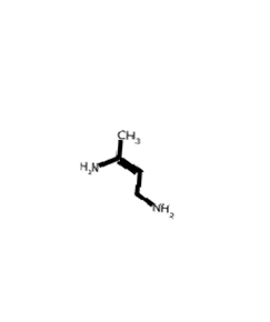 C/C(N)=C/CN